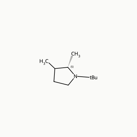 CC1CCN(C(C)(C)C)[C@H]1C